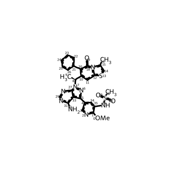 COc1ncc(-c2nn([C@@H](C)c3cc4scc(C)n4c(=O)c3-c3ccccc3)c3ncnc(N)c23)cc1NS(C)(=O)=O